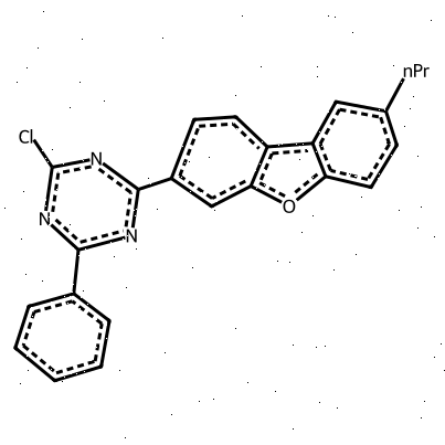 CCCc1ccc2oc3cc(-c4nc(Cl)nc(-c5ccccc5)n4)ccc3c2c1